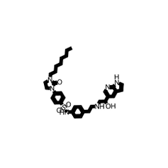 CCCCCCCCN1CCN(c2ccc(S(=O)(=O)Nc3ccc(CCNCC(O)c4cnc5[nH]ccc5c4)cc3)cc2)C1=O